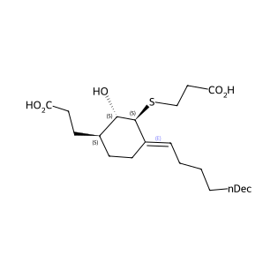 CCCCCCCCCCCCC/C=C1\CC[C@@H](CCC(=O)O)[C@H](O)[C@H]1SCCC(=O)O